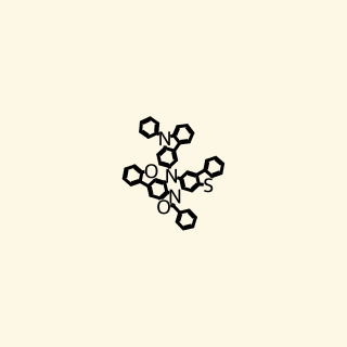 c1ccc(-c2nc3c(N(c4ccc5sc6ccccc6c5c4)c4ccc5c(c4)c4ccccc4n5-c4ccccc4)c4oc5ccccc5c4cc3o2)cc1